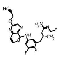 C#CCOc1cnc2c(Nc3cc(F)c(F)c(C[C@@H](C)S/C(N)=N\CF)c3)nccc2n1